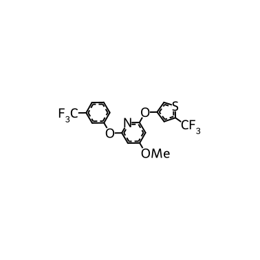 COc1cc(Oc2cccc(C(F)(F)F)c2)nc(Oc2csc(C(F)(F)F)c2)c1